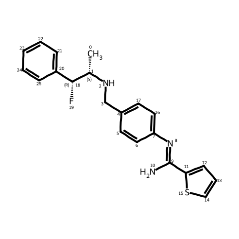 C[C@H](NCc1ccc(N=C(N)c2cccs2)cc1)[C@H](F)c1ccccc1